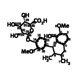 COc1ccc(CC(C)C(C)Cc2ccc(O[C@@H]3O[C@H](C(=O)O)[C@@H](O)[C@H](O)[C@H]3O)c(OC)c2)cc1O